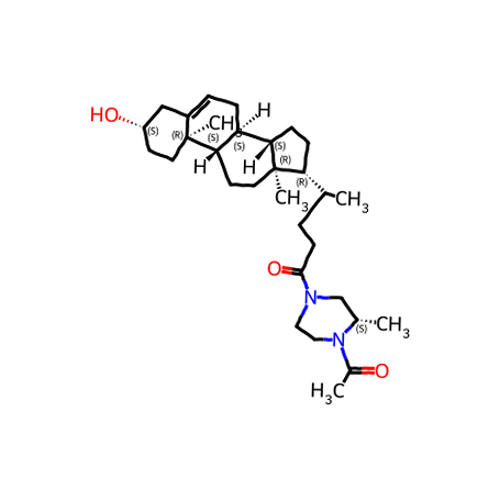 CC(=O)N1CCN(C(=O)CCC(C)[C@H]2CC[C@H]3[C@@H]4CC=C5C[C@@H](O)CC[C@]5(C)[C@H]4CC[C@]23C)C[C@@H]1C